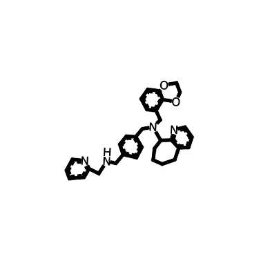 c1ccc(CNCc2ccc(CN(Cc3cccc4c3OCCO4)C3CCCCc4cccnc43)cc2)nc1